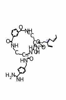 C=C/C(=C\C=C/C)CS(=O)(=O)N[C@@H]1CCCCNC(=O)c2cccc(c2)C(=O)NCCCC[C@@H](C(=O)NCc2ccc(C(=N)N)cc2)NC1=O